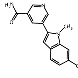 Cn1c(-c2cncc(C(N)=O)c2)cc2ccc(Cl)cc21